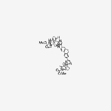 C=C[C@H](NC(=O)OC)C(O)N1C(c2ncc(-c3ccc4c(c3)CCc3cc(-c5cnc([C@@H]6CCCN6C(=O)[C@H](C)NC(=O)OC)[nH]5)ccc3-4)[nH]2)[C@H]2CC[C@@H]1C2